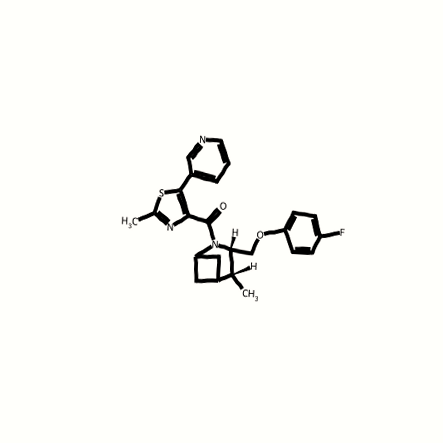 Cc1nc(C(=O)N2C3CC(C3)[C@@H](C)[C@H]2COc2ccc(F)cc2)c(-c2cccnc2)s1